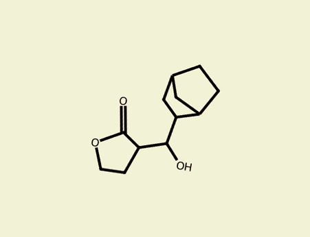 O=C1OCCC1C(O)C1CC2CCC1C2